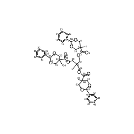 CC(COC(=O)C1(C)COC(c2ccccc2)OC1)(COC(=O)C1(C)COC(c2ccccc2)OC1)COC(=O)C1(C)COC(c2ccccc2)OC1